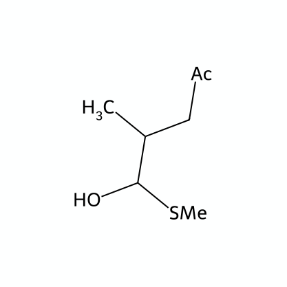 CSC(O)C(C)CC(C)=O